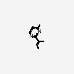 C/C=C(\C)c1nccc(C)n1